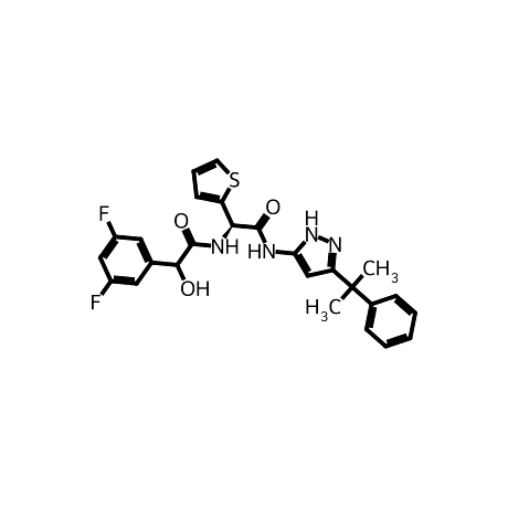 CC(C)(c1ccccc1)c1cc(NC(=O)[C@@H](NC(=O)C(O)c2cc(F)cc(F)c2)c2cccs2)[nH]n1